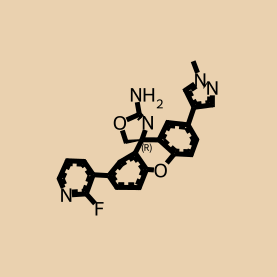 Cn1cc(-c2ccc3c(c2)[C@]2(COC(N)=N2)c2cc(-c4cccnc4F)ccc2O3)cn1